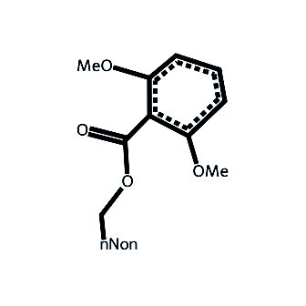 CCCCCCCCCCOC(=O)c1c(OC)cccc1OC